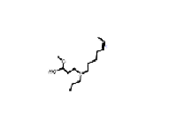 C/C=C\CCCCN(CCC)CCC(O)OC